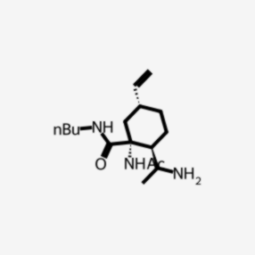 C=C[C@@H]1CC[C@@H](C(C)N)[C@@](NC(C)=O)(C(=O)NCCCC)C1